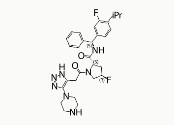 CC(C)c1ccc([C@@H](NC(=O)[C@@H]2C[C@@H](F)CN2C(=O)Cc2[nH]nnc2N2CCNCC2)c2ccccc2)cc1F